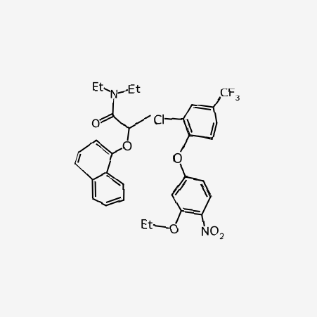 CCN(CC)C(=O)C(C)Oc1cccc2ccccc12.CCOc1cc(Oc2ccc(C(F)(F)F)cc2Cl)ccc1[N+](=O)[O-]